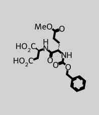 COC(=O)CC[C@H](NC(=O)OCc1ccccc1)C(=O)N[C@@H](CC(=O)O)C(=O)O